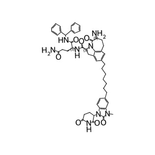 Cn1c(=O)n(C2CCC(=O)NC2=O)c2ccc(CCCCCCCc3cc4c5c(c3)C[C@@H](C(=O)N[C@@H](CCC(N)=O)C(=O)NC(c3ccccc3)c3ccccc3)N5C(=O)[C@@H](N)CC4)cc21